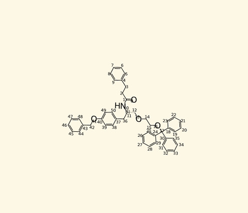 O=C(CCc1ccccc1)N[C@H](COCCOC(c1ccccc1)(c1ccccc1)c1ccccc1)Cc1ccc(OCc2ccccc2)cc1